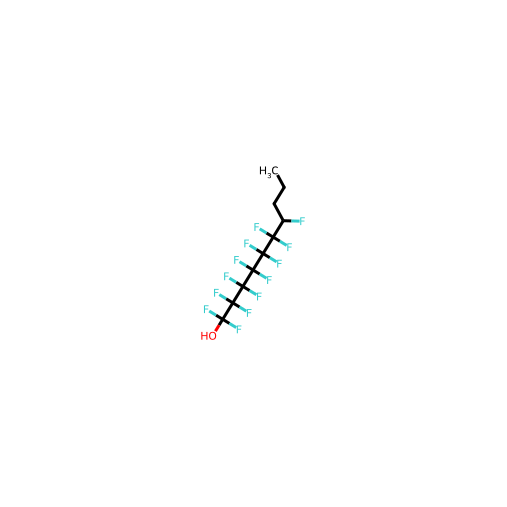 CCCC(F)C(F)(F)C(F)(F)C(F)(F)C(F)(F)C(F)(F)C(O)(F)F